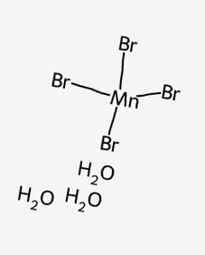 O.O.O.[Br][Mn]([Br])([Br])[Br]